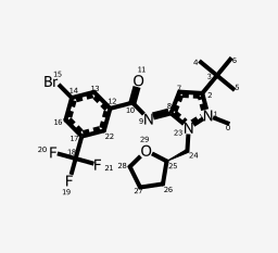 Cn1c(C(C)(C)C)cc(=NC(=O)c2cc(Br)cc(C(F)(F)F)c2)n1C[C@H]1CCCO1